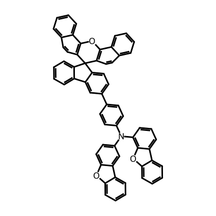 c1ccc2c(c1)-c1cc(-c3ccc(N(c4ccc5oc6ccccc6c5c4)c4cccc5c4oc4ccccc45)cc3)ccc1C21c2ccc3ccccc3c2Oc2c1ccc1ccccc21